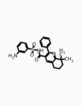 CC1(C)CCCc2cc(C(=O)NS(=O)(=O)c3cccc(N)c3)c(-c3ccccc3)nc21